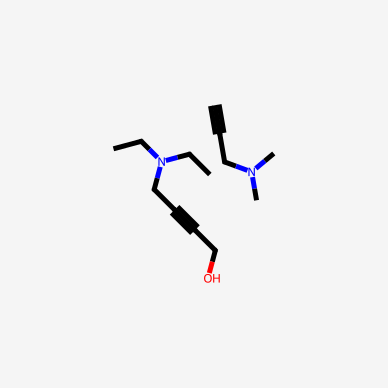 C#CCN(C)C.CCN(CC)CC#CCO